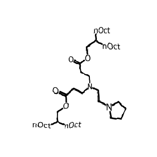 CCCCCCCCC(CCCCCCCC)COC(=O)CCN(CCC(=O)OCC(CCCCCCCC)CCCCCCCC)CCN1CCCC1